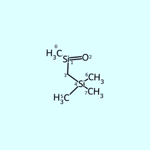 C[Si](=O)C[Si](C)(C)C